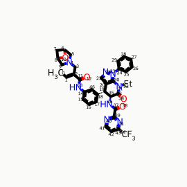 C/C=C(\CN1CC2CC(C1)O2)C(=O)Nc1cccc([C@@H]2c3cnn(-c4ccccc4)c3N(CC)C(=O)[C@H]2NC(=O)c2nccc(C(F)(F)F)n2)c1